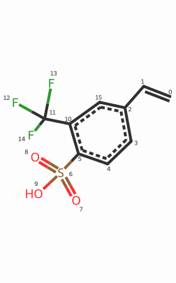 C=Cc1ccc(S(=O)(=O)O)c(C(F)(F)F)c1